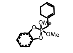 COP1(CC2=CC=CCC2)(OC)Oc2ccccc2O1